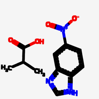 CC(C)C(=O)O.O=[N+]([O-])c1ccc2[nH]cnc2c1